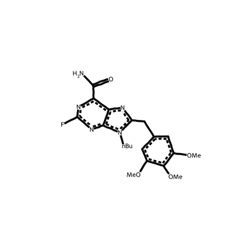 CCCCn1c(Cc2cc(OC)c(OC)c(OC)c2)nc2c(C(N)=O)nc(F)nc21